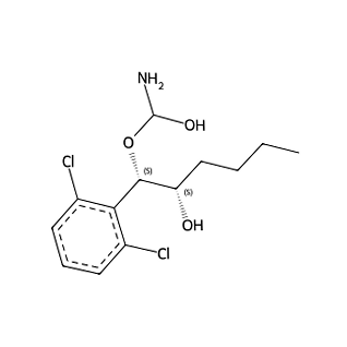 CCCC[C@H](O)[C@@H](OC(N)O)c1c(Cl)cccc1Cl